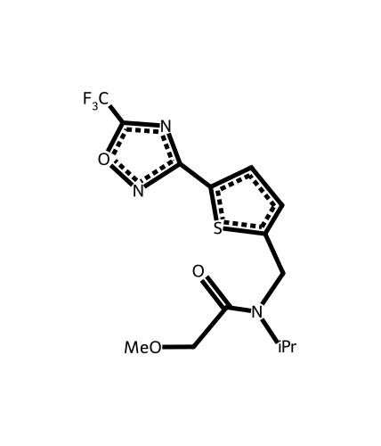 COCC(=O)N(Cc1ccc(-c2noc(C(F)(F)F)n2)s1)C(C)C